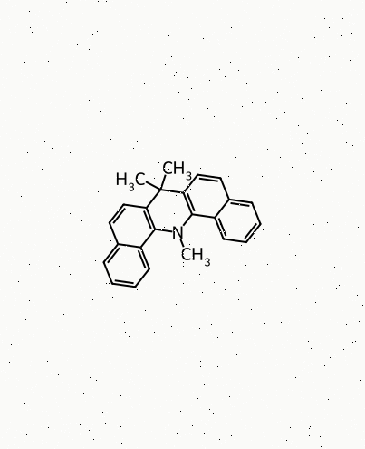 CN1c2c(ccc3ccccc23)C(C)(C)c2ccc3ccccc3c21